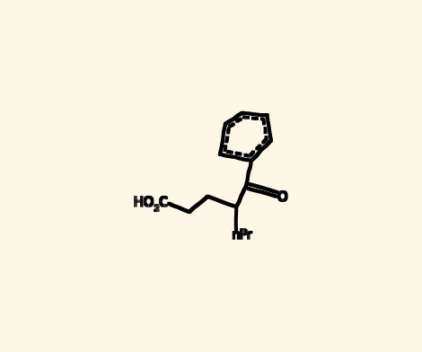 CCCC(CCC(=O)O)C(=O)c1ccccc1